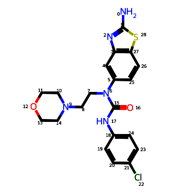 Nc1nc2cc(N(CCN3CCOCC3)C(=O)Nc3ccc(Cl)cc3)ccc2s1